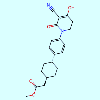 COC(=O)C[C@H]1CC[C@H](c2ccc(N3CCC(O)=C(C#N)C3=O)cc2)CC1